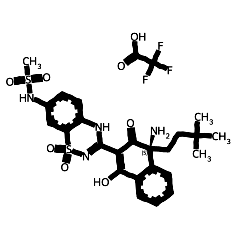 CC(C)(C)CC[C@@]1(N)C(=O)C(C2=NS(=O)(=O)c3cc(NS(C)(=O)=O)ccc3N2)=C(O)c2ccccc21.O=C(O)C(F)(F)F